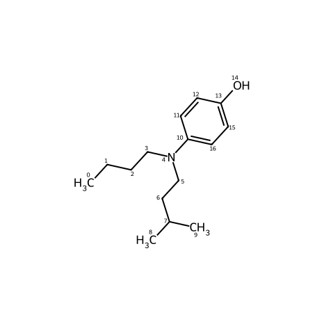 CCCCN(CCC(C)C)c1ccc(O)cc1